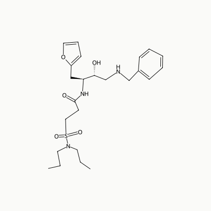 CCCN(CCC)S(=O)(=O)CCC(=O)N[C@@H](Cc1ccco1)[C@H](O)CNCc1ccccc1